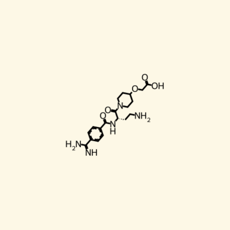 N=C(N)c1ccc(C(=O)N[C@@H](CCN)C(=O)N2CCC(OCC(=O)O)CC2)cc1